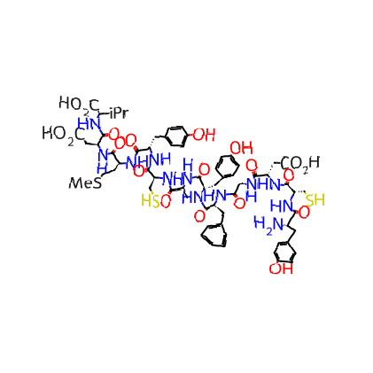 CSCC[C@H](NC(=O)[C@H](Cc1ccc(O)cc1)NC(=O)[C@H](CS)NC(=O)[C@H](C)NC(=O)[C@H](Cc1ccc(O)cc1)NC(=O)[C@H](Cc1ccccc1)NC(=O)CNC(=O)[C@H](CC(=O)O)NC(=O)[C@H](CS)NC(=O)[C@@H](N)Cc1ccc(O)cc1)C(=O)N[C@@H](CC(=O)O)C(=O)N[C@H](C(=O)O)C(C)C